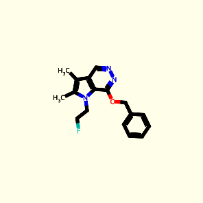 Cc1c(C)n(CCF)c2c(OCc3ccccc3)nncc12